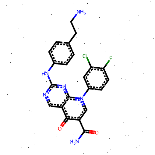 NCCc1ccc(Nc2ncc3c(=O)c(C(N)=O)cn(-c4ccc(F)c(Cl)c4)c3n2)cc1